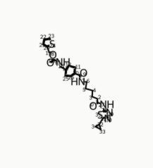 O=C(CCCCCNC(=O)c1ccc(CNC(=O)OCc2cccs2)cc1)Nc1nnc(C2CC2)s1